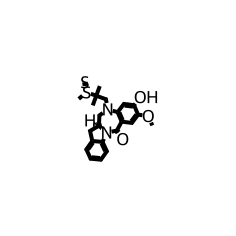 COc1cc2c(cc1O)N(CC(C)(C)S(C)=S)C[C@@H]1Cc3ccccc3N1C2=O